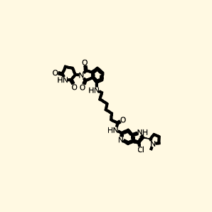 CN1CCC[C@@H]1c1[nH]c2cc(NC(=O)CCCCCCNc3cccc4c3C(=O)N(C3CCC(=O)NC3=O)C4=O)ncc2c1Cl